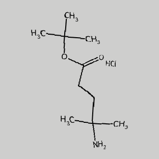 CC(C)(N)CCC(=O)OC(C)(C)C.Cl